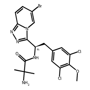 COc1c(Cl)cc(C[C@@H](NC(=O)C(C)(C)N)c2nnc3ccc(Br)cn23)cc1Cl